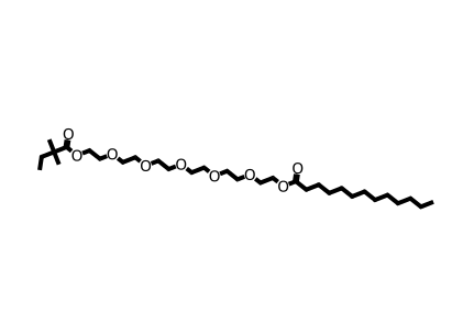 CCCCCCCCCCCCC(=O)OCCOCCOCCOCCOCCOCCOC(=O)C(C)(C)CC